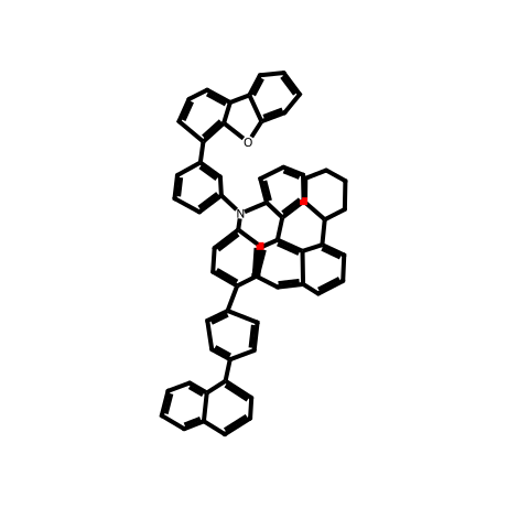 c1cc(-c2cccc3c2oc2ccccc23)cc(N(c2ccc(-c3ccc(-c4cccc5ccccc45)cc3)cc2)c2ccccc2-c2cccc3cccc(C4CCCCC4)c23)c1